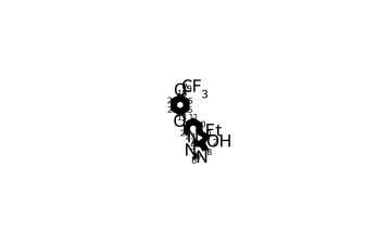 CCC(O)(c1cncnc1)c1ccc(Oc2ccc(OC(F)(F)F)cc2)cn1